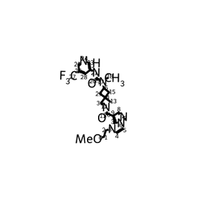 COCCn1ccn2ncc(C(=O)N3CC4(CC(N(C)C(=O)Nc5cncc(C(F)(F)F)c5)C4)C3)c12